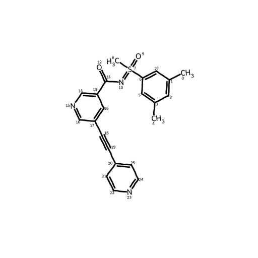 Cc1cc(C)cc(S(C)(=O)=NC(=O)c2cncc(C#Cc3ccncc3)c2)c1